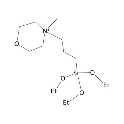 CCO[Si](CCC[N+]1(C)CCOCC1)(OCC)OCC